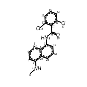 CNc1ccnc2c(NC(=O)c3c(Cl)cccc3Cl)cccc12